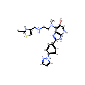 CCCN(CCNCc1csc(C)n1)c1c(Br)cnc2[nH]c(-c3ccc(-n4cccn4)cc3)nc12